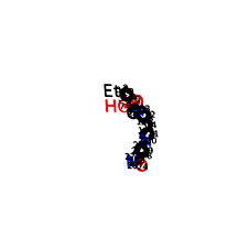 CCc1cccc(C(O)(C(=O)N2CCC(CC3CCN(c4ccc(C(=O)N(C)C)cc4)CC3)CC2)C(F)(F)F)c1